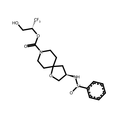 O=C(O[C@H](CO)C(F)(F)F)N1CCC2(CC1)C[C@@H](N[S+]([O-])c1ccccc1)CO2